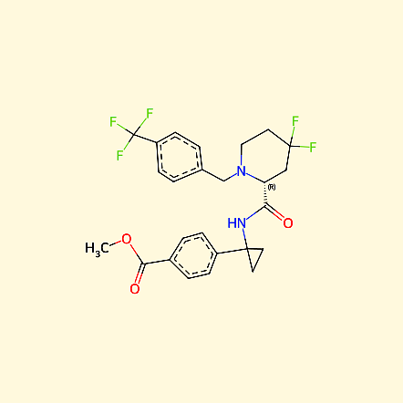 COC(=O)c1ccc(C2(NC(=O)[C@H]3CC(F)(F)CCN3Cc3ccc(C(F)(F)F)cc3)CC2)cc1